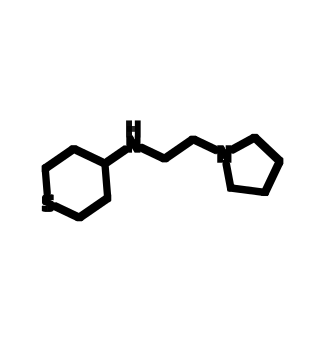 C1CCN(CCNC2CCSCC2)C1